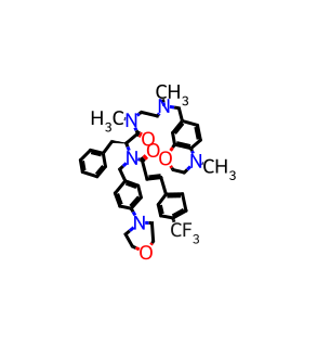 CN(CCN(C)C(=O)[C@H](Cc1ccccc1)N(Cc1ccc(N2CCOCC2)cc1)C(=O)C=Cc1ccc(C(F)(F)F)cc1)Cc1ccc2c(c1)OCCN2C